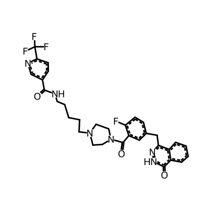 O=C(NCCCCCN1CCN(C(=O)c2cc(Cc3n[nH]c(=O)c4ccccc34)ccc2F)CC1)c1ccc(C(F)(F)F)nc1